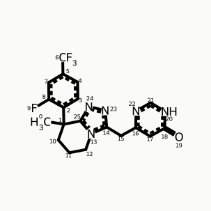 CC1(c2ccc(C(F)(F)F)cc2F)CCCn2c(Cc3cc(=O)[nH]cn3)nnc21